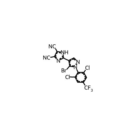 N#Cc1nc(-c2cnn(-c3c(Cl)cc(C(F)(F)F)cc3Cl)c2Br)[nH]c1C#N